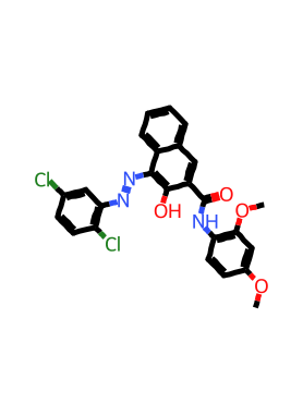 COc1ccc(NC(=O)c2cc3ccccc3c(/N=N/c3cc(Cl)ccc3Cl)c2O)c(OC)c1